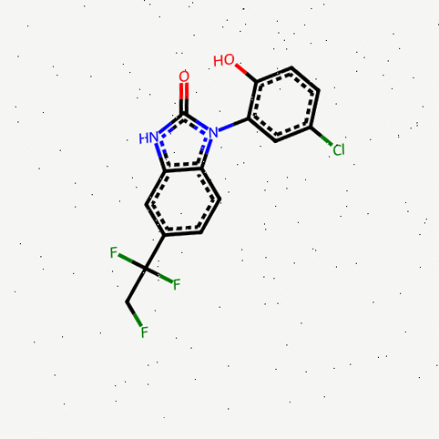 O=c1[nH]c2cc(C(F)(F)CF)ccc2n1-c1cc(Cl)ccc1O